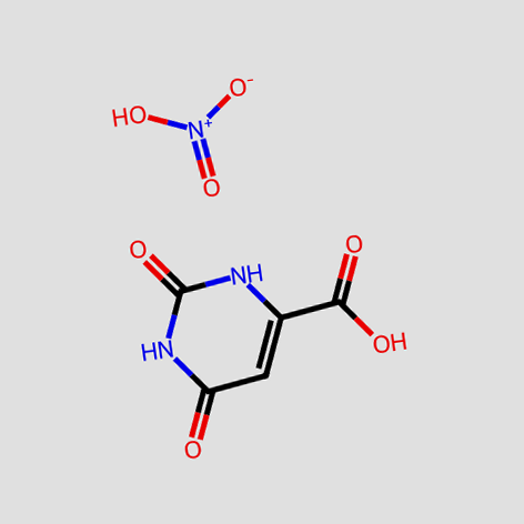 O=C(O)c1cc(=O)[nH]c(=O)[nH]1.O=[N+]([O-])O